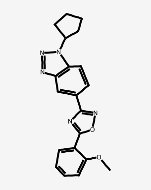 COc1ccccc1-c1nc(-c2ccc3c(c2)nnn3C2CCCC2)no1